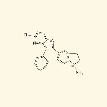 N[C@H]1CCc2cc(-c3nc4ccc(Cl)nn4c3-c3ccccc3)ccc21